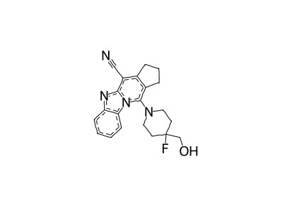 N#Cc1c2c(c(N3CCC(F)(CO)CC3)n3c1nc1ccccc13)CCC2